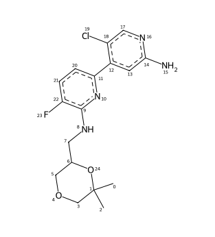 CC1(C)COCC(CNc2nc(-c3cc(N)ncc3Cl)ccc2F)O1